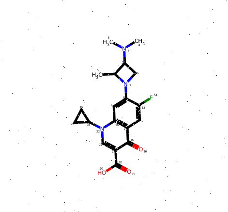 CC1C(N(C)C)CN1c1cc2c(cc1F)c(=O)c(C(=O)O)cn2C1CC1